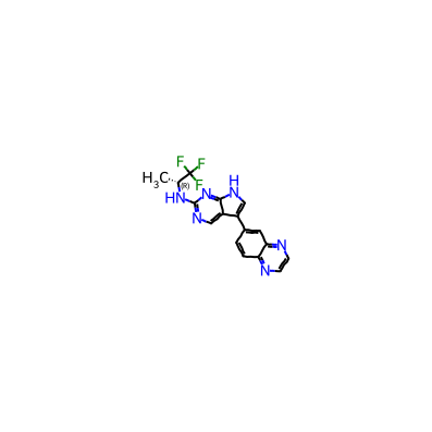 C[C@@H](Nc1ncc2c(-c3ccc4nccnc4c3)c[nH]c2n1)C(F)(F)F